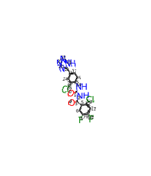 O=C(NC(=O)c1cc(F)c(F)cc1Cl)Nc1ccc(-c2nnn[nH]2)cc1Cl